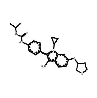 CC(C)OC(=O)Nc1ccc(-c2c(N)c3ccc(OC4CCOC4)cc3n2C2CC2)cc1